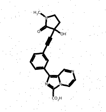 CN1CCC(O)(C#Cc2cccc(-c3nc(C(=O)O)n4ccncc34)c2)C1=O